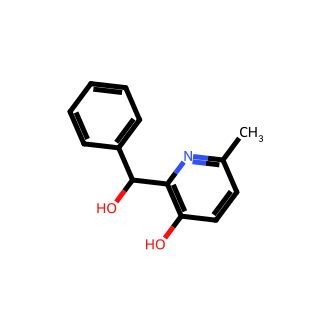 Cc1ccc(O)c(C(O)c2ccccc2)n1